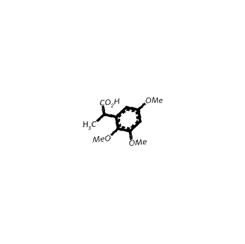 COc1cc(OC)c(OC)c(C(C)C(=O)O)c1